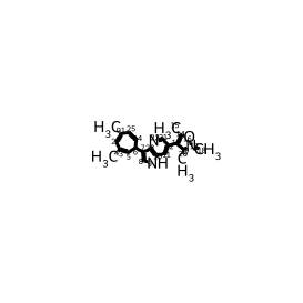 CC1=CC(C)=CC(c2c[nH]c3cc(C4=C(C)ON(C)[C@H]4C)cnc23)C=C1